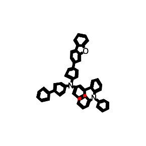 c1ccc(-c2ccc(N(c3ccc(-c4ccc5c(c4)oc4ccccc45)cc3)c3cccc(-c4ccccc4N(c4ccccc4)c4ccccc4)c3)cc2)cc1